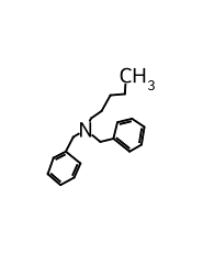 CCCCCN(Cc1ccccc1)Cc1ccccc1